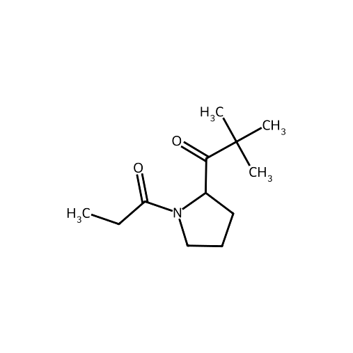 CCC(=O)N1CCCC1C(=O)C(C)(C)C